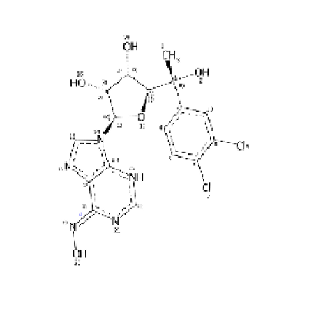 C[C@@](O)(c1ccc(Cl)c(Cl)c1)[C@H]1O[C@@H](n2cnc3/c(=N/O)nc[nH]c32)[C@H](O)[C@@H]1O